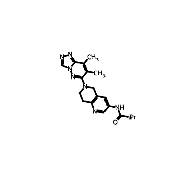 Cc1c(N2CCc3ncc(NC(=O)C(C)C)cc3C2)nn2cnnc2c1C